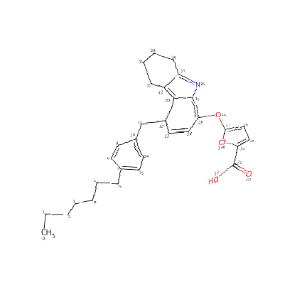 CCCCCCCc1ccc(CC2C=CC(Oc3ccc(C(=O)O)o3)=C3N=C4CCCCC4=C32)cc1